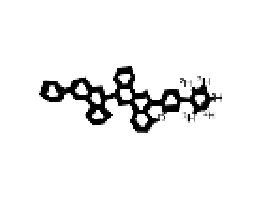 [2H]c1c([2H])c([2H])c(-c2ccc3c(c2)Oc2cccc4c2c-3cc2c3ccccc3c(-c3cc5ccc(-c6ccccc6)cc5c5ccccc35)cc42)c([2H])c1[2H]